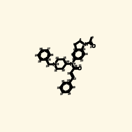 CC(=O)N1CCc2cc(N(C(=O)/C=C/c3ccccc3)C3CCN(Cc4ccccc4)CC3)ccc21